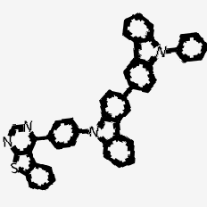 c1ccc(-n2c3ccccc3c3cc(-c4ccc5c(c4)c4ccccc4n5-c4ccc(-c5ncnc6sc7ccccc7c56)cc4)ccc32)cc1